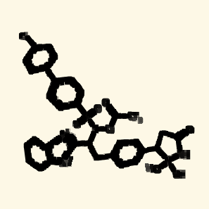 O=C1CC(c2ccc(CC(c3nc4ccccc4[nH]3)N(OC(=O)C(F)(F)F)S(=O)(=O)c3ccc(-c4ccc(Cl)cc4)cc3)cc2)S(O)(O)N1